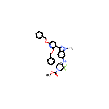 Cn1nc(-c2ccc(OCc3ccccc3)nc2OCc2ccccc2)c2ccc(N[C@@H]3CCN(C(=O)OC(C)(C)C)CC3(F)F)cc21